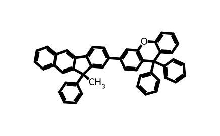 CC1(c2ccccc2)c2cc(-c3ccc4c(c3)Oc3ccccc3C4(c3ccccc3)c3ccccc3)ccc2-c2cc3ccccc3cc21